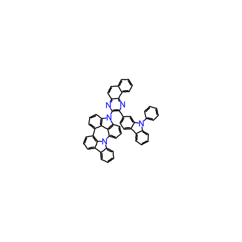 c1ccc(-n2c3ccccc3c3ccc(-c4nc5c(ccc6ccccc65)nc4-n4c5cccc6c7cccc8c9ccccc9n(c9cccc4c9c65)c78)cc32)cc1